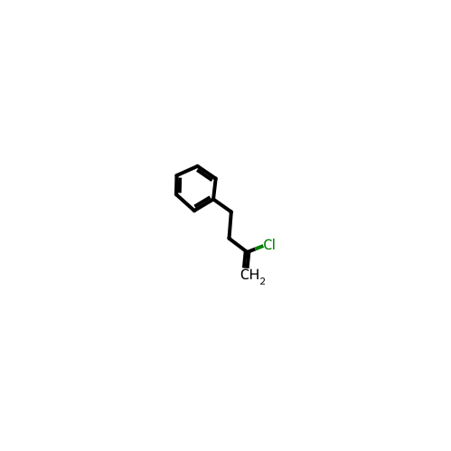 C=C(Cl)CCc1ccccc1